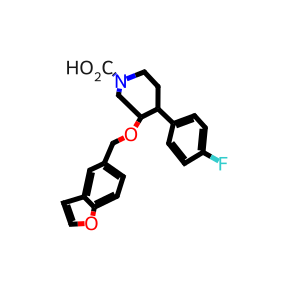 O=C(O)N1CCC(c2ccc(F)cc2)C(OCc2ccc3occc3c2)C1